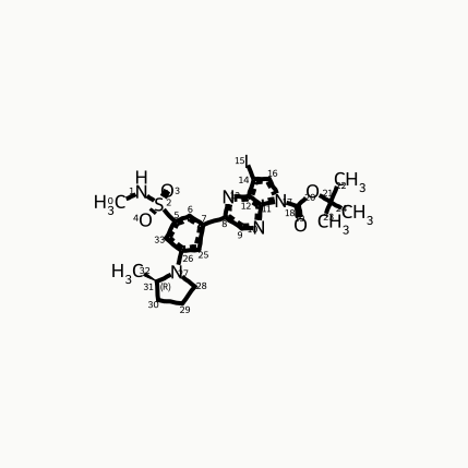 CNS(=O)(=O)c1cc(-c2cnc3c(n2)c(I)cn3C(=O)OC(C)(C)C)cc(N2CCC[C@H]2C)c1